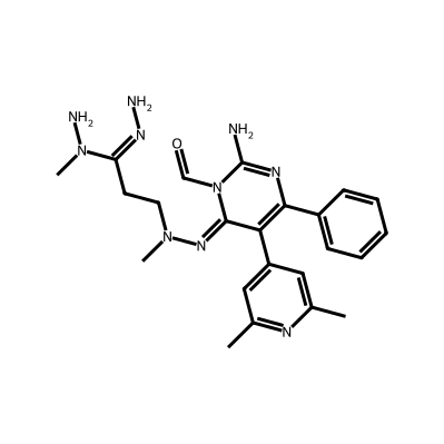 Cc1cc(-c2c(-c3ccccc3)nc(N)n(C=O)/c2=N\N(C)CC/C(=N/N)N(C)N)cc(C)n1